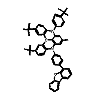 Cc1cc2c3c(c1)N(c1ccc(C(C)(C)C)cc1)c1ccc(C(C)(C)C)cc1B3c1cc(C(C)(C)C)ccc1N2c1ccc(-c2cccc3c2sc2ccccc23)cc1